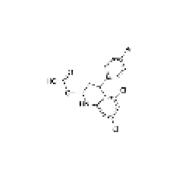 O=C(O)OC1CC(c2ccc(Br)cc2)c2c(Cl)cc(Cl)cc2N1